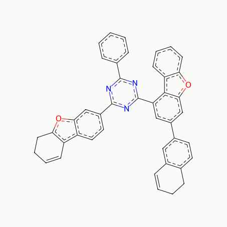 C1=Cc2cc(-c3cc(-c4nc(-c5ccccc5)nc(-c5ccc6c7c(oc6c5)CCC=C7)n4)c4c(c3)oc3ccccc34)ccc2CC1